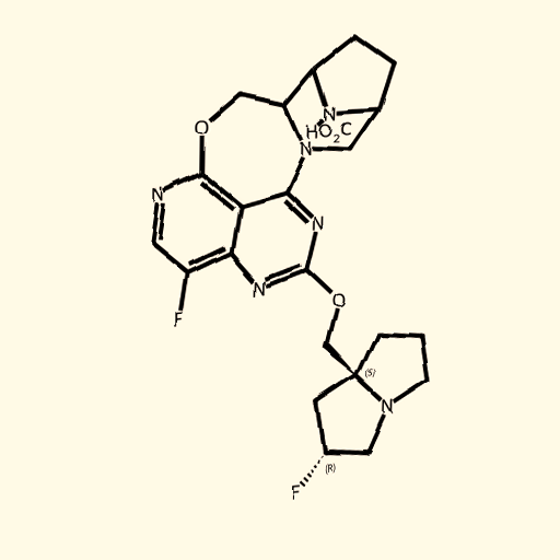 O=C(O)N1C2CCC1C1COc3ncc(F)c4nc(OC[C@@]56CCCN5C[C@H](F)C6)nc(c34)N1C2